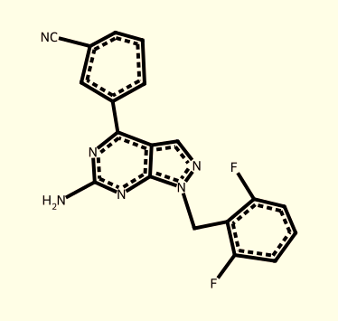 N#Cc1cccc(-c2nc(N)nc3c2cnn3Cc2c(F)cccc2F)c1